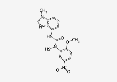 COc1ccc([N+](=O)[O-])cc1N(S)C(=O)Nc1cccc2c1ncn2C